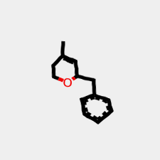 CC1=CC(Cc2ccccc2)OCC1